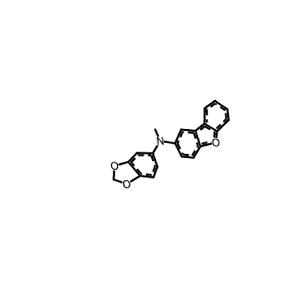 CN(c1ccc2c(c1)OCO2)c1ccc2oc3ccccc3c2c1